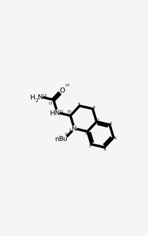 CCCCN1c2ccccc2CCC1NC(N)=O